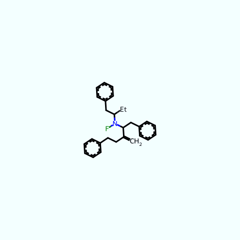 C=C(CCc1ccccc1)C(Cc1ccccc1)N(F)C(CC)Cc1ccccc1